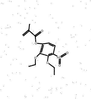 C=C(C)C(=O)Oc1ccc([SH](=O)=O)c(OCC)c1OCC